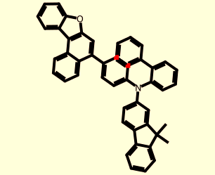 CC1(C)c2ccccc2-c2ccc(N(c3ccc(-c4cc5oc6ccccc6c5c5ccccc45)cc3)c3ccccc3-c3ccccc3)cc21